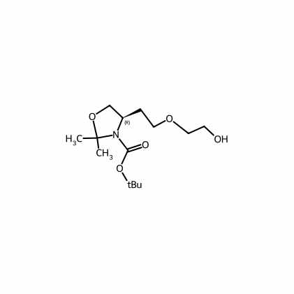 CC(C)(C)OC(=O)N1[C@H](CCOCCO)COC1(C)C